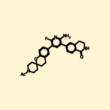 CC(=O)N1CCC2(CCc3cc(-c4cc(-c5ccc6c(c5)CCNC6=O)c(N)nc4F)ccc3O2)CC1